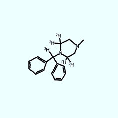 [2H]C1([2H])CN(C)CC([2H])([2H])N1C([2H])(c1ccccc1)c1ccccc1